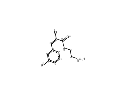 CCC(=Cc1cccc(Br)c1)C(=O)OCCC(=O)O